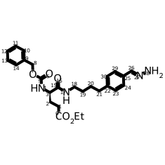 CCOC(=O)CC[C@@H](NC(=O)OCc1ccccc1)C(=O)NCCCCc1ccc(C=NN)cc1